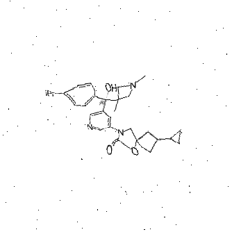 CC(C)c1ccc([C@](O)(c2cncc(N3CC4(CC(C5CC5)C4)OC3=O)c2)C2(C)CN(C)C2)cc1